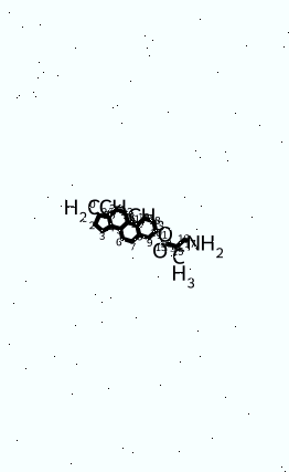 C=C1CCC2C3CCC4C[C@@H](OC(=O)C(C)CN)CC[C@]4(C)C3CC[C@]12C